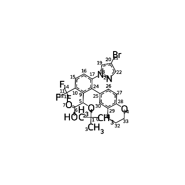 CC(C)(C)OC(C(=O)O)c1c(C(F)(F)F)ccc(-n2cc(Br)cn2)c1-c1ccc2c(c1)CCCO2